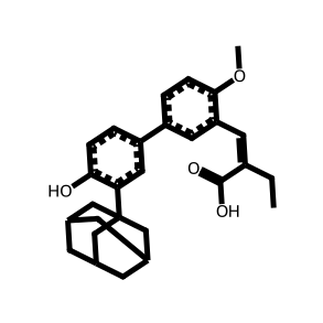 CCC(=Cc1cc(-c2ccc(O)c(C34CC5CC(CC(C5)C3)C4)c2)ccc1OC)C(=O)O